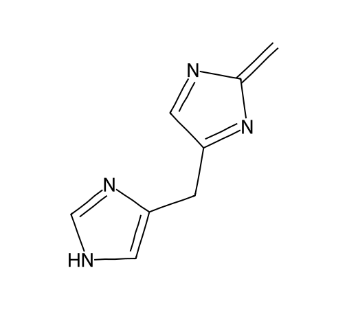 C=C1N=CC(Cc2c[nH]cn2)=N1